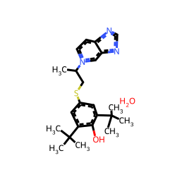 CC(CSc1cc(C(C)(C)C)c(O)c(C(C)(C)C)c1)n1ccc2ncnc-2c1.O